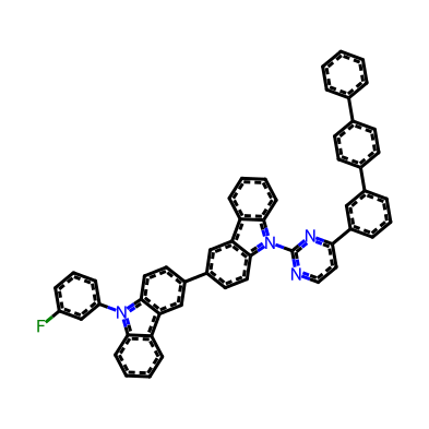 Fc1cccc(-n2c3ccccc3c3cc(-c4ccc5c(c4)c4ccccc4n5-c4nccc(-c5cccc(-c6ccc(-c7ccccc7)cc6)c5)n4)ccc32)c1